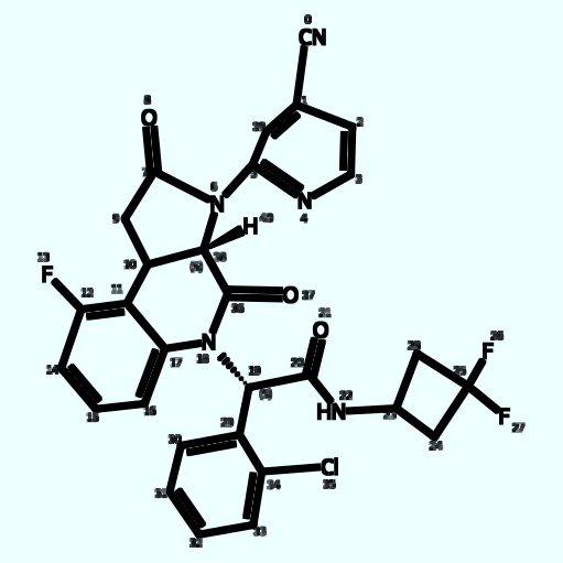 N#Cc1ccnc(N2C(=O)CC3c4c(F)cccc4N([C@H](C(=O)NC4CC(F)(F)C4)c4ccccc4Cl)C(=O)[C@H]32)c1